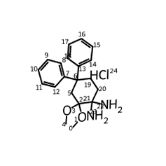 COC1(OC)CC(c2ccccc2)(c2ccccc2)CCC1(N)N.Cl